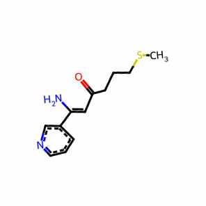 CSCCCC(=O)C=C(N)c1cccnc1